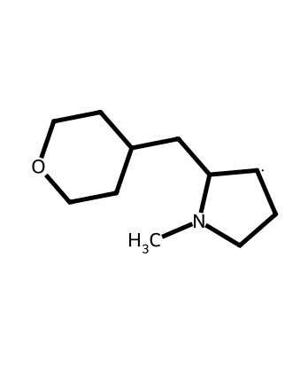 CN1CC[CH]C1CC1CCOCC1